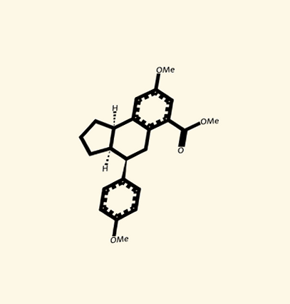 COC(=O)c1cc(OC)cc2c1C[C@@H](c1ccc(OC)cc1)[C@H]1CCC[C@@H]21